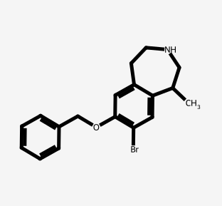 CC1CNCCc2cc(OCc3ccccc3)c(Br)cc21